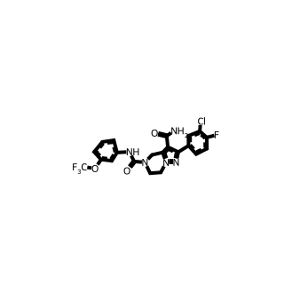 NC(=O)c1c(-c2ccc(F)c(Cl)c2)nn2c1CN(C(=O)Nc1cccc(OC(F)(F)F)c1)CC2